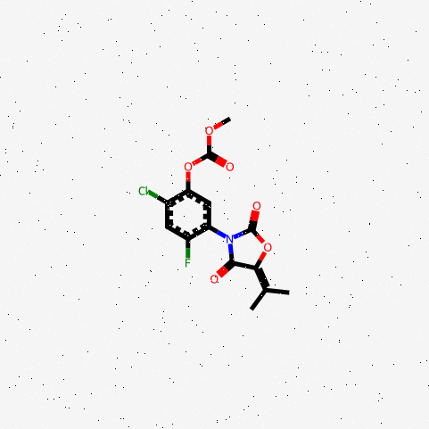 COC(=O)Oc1cc(N2C(=O)OC(=C(C)C)C2=O)c(F)cc1Cl